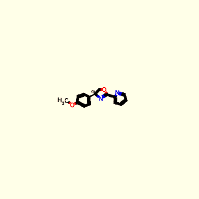 COc1ccc([C@H]2COC(c3ccccn3)=N2)cc1